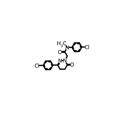 CN(C(=O)CN1N=C(c2ccc(Cl)cc2)CCC1=O)c1ccc(Cl)cc1